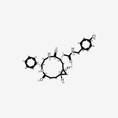 O=C(C[C@@H]1C[C@H]2C[C@@H]2CCC(=O)O[C@H](c2ccccc2)CNC1=O)NCc1ccc(Cl)cc1